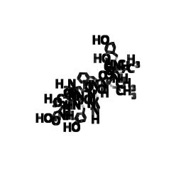 CC(C)C[C@H](NC(=O)[C@H](CC(C)C)NC(=O)[C@H](Cc1ccccc1)NC(=O)[C@H](Cc1c[nH]cn1)NC(=O)[C@H](CC(N)=O)NC(=O)[C@H](Cc1ccc(O)cc1)NC(=O)[C@@H](NC(=O)[C@@H](N)CC(=O)O)C(C)C)C(=O)N[C@@H](Cc1ccc(O)cc1)C(=O)O